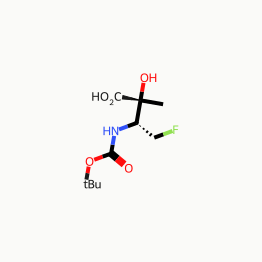 CC(C)(C)OC(=O)N[C@@H](CF)[C@@](C)(O)C(=O)O